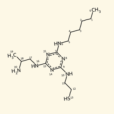 CCCCCCNc1nc(NCCS)nc(NCC(C)N)n1